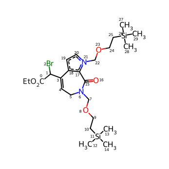 CCOC(=O)C(Br)C1=CCN(COCC[Si](C)(C)C)C(=O)c2c1ccn2COCC[Si](C)(C)C